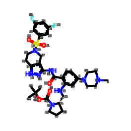 CN1CCN(c2ccc(C(=O)Nc3n[nH]c4c3CN(S(=O)(=O)c3cc(F)cc(F)c3)CC4)c(NC[C@@H]3CCCN3C(=O)OC(C)(C)C)c2)CC1